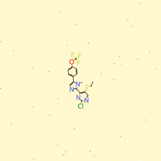 CCSc1cnc(Cl)nc1-c1ncc(-c2ccc(OC(F)(F)F)cc2)n1C